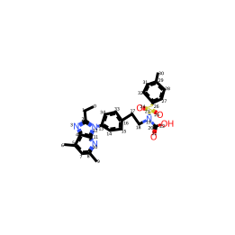 CCc1nc2c(C)cc(C)nc2n1-c1ccc(CCN(C(=O)O)S(=O)(=O)c2ccc(C)cc2)cc1